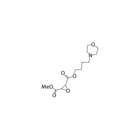 COC(=O)C1OC1C(=O)OCCCCN1CCOCC1